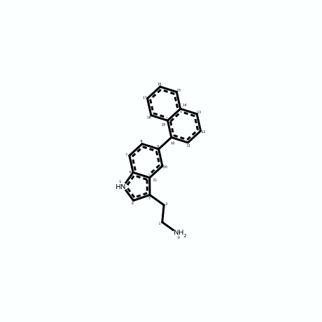 NCCc1c[nH]c2ccc(-c3cccc4ccccc34)cc12